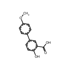 COc1ccc(-c2ccc(O)c(C(=O)O)c2)cc1